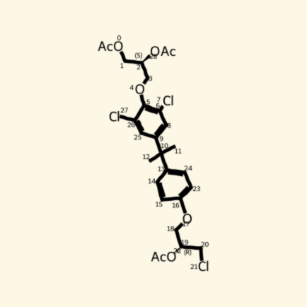 CC(=O)OC[C@H](COc1c(Cl)cc(C(C)(C)c2ccc(OC[C@H](CCl)OC(C)=O)cc2)cc1Cl)OC(C)=O